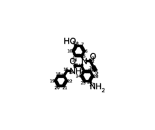 C#CC(=O)N(c1ccc(O)cc1)C(C(=O)NCc1ccccc1)c1ccc(N)cc1